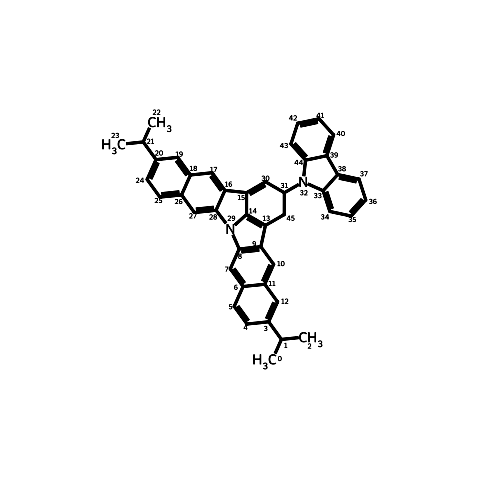 CC(C)c1ccc2cc3c(cc2c1)c1c2c(c4cc5cc(C(C)C)ccc5cc4n23)=CC(n2c3ccccc3c3ccccc32)C1